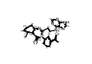 CC(=O)c1cccc(-n2c(CCNc3ncnc4[nH]cnc34)nc3cccc(C)c3c2=O)c1